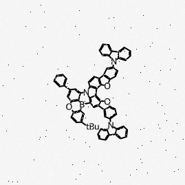 CC(C)(C)c1ccc2c(c1)B1c3c(cc(-c4ccccc4)cc3-n3c4ccc5c6cc(-n7c8ccccc8c8ccccc87)ccc6oc5c4c4c5oc6ccc(-n7c8ccccc8c8ccccc87)cc6c5cc1c43)O2